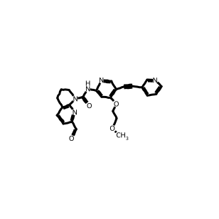 COCCOc1cc(NC(=O)N2CCCc3ccc(C=O)nc32)ncc1C#Cc1cccnc1